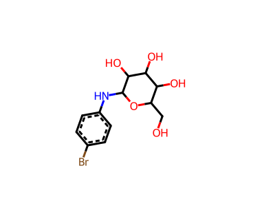 OCC1OC(Nc2ccc(Br)cc2)C(O)C(O)C1O